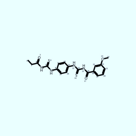 CCC(=O)NC(=S)Nc1ccc(NC(=S)NC(=O)c2cccc(OC)c2)cc1